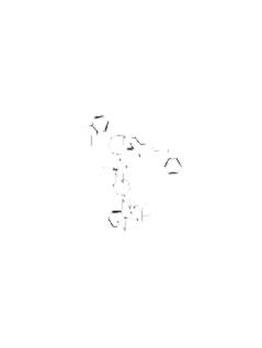 O=C(N[C@@H]1CC[C@@H](c2cccc(F)c2F)Cn2cc(CCOc3ccccc3)nc21)N1CCC(n2c(=O)[nH]c3ncccc32)CC1